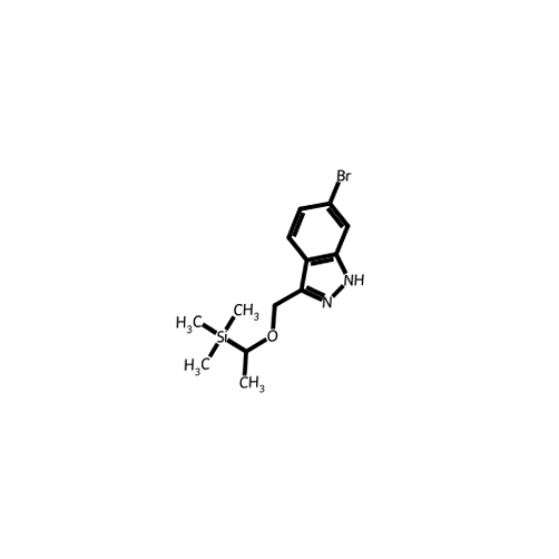 CC(OCc1n[nH]c2cc(Br)ccc12)[Si](C)(C)C